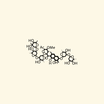 CO[C@H](C(=O)C(C)=O)[C@@H]1Cc2cc3cc(O[C@H]4C[C@@H](O[C@H]5C[C@@H](O)[C@H](O)[C@@H](C)O5)[C@H](O)[C@@H](C)O4)c(C)c(O)c3c(O)c2C(=O)[C@H]1O[C@H]1C[C@@H](O[C@H]2C[C@@H](O[C@H]3C[C@](C)(O)[C@H](O)[C@@H](C)O3)[C@@H](O)[C@@H](C)O2)[C@H](O)[C@@H](C)O1